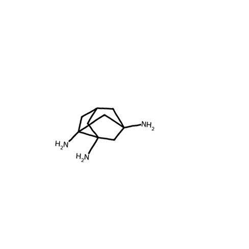 NC12CC3CC(N)(C1)C(N)(C3)C2